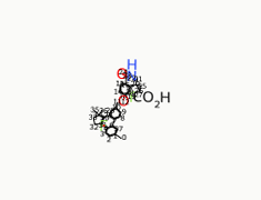 Cc1ccc(F)c(-c2ccc(COc3ccc4c(c3F)[C@]3(CNC4=O)C[C@@H]3C(=O)O)cc2C2=CCCC2(C)C)c1